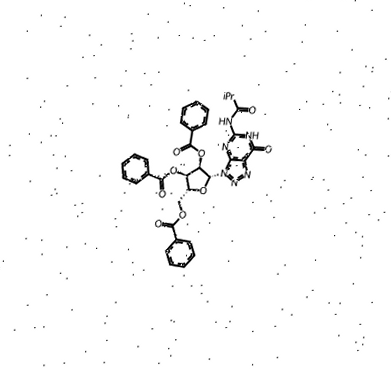 CC(C)C(=O)Nc1nc2c(nnn2[C@@H]2O[C@H](COC(=O)c3ccccc3)[C@@H](OC(=O)c3ccccc3)[C@H]2OC(=O)c2ccccc2)c(=O)[nH]1